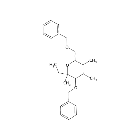 CCC1(C)OC(COCc2ccccc2)C(C)C(C)C1OCc1ccccc1